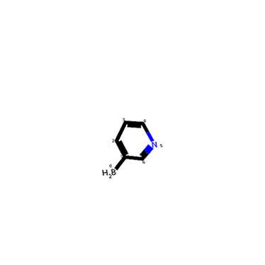 Bc1cccnc1